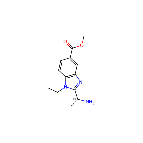 CCn1c([C@@H](C)N)nc2cc(C(=O)OC)ccc21